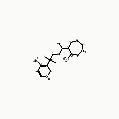 CC(CCC(C)(C)C1=C(C(C)(C)C)C=CSC1)C1CCCOCC1C(C)(C)C